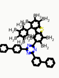 Bc1c(B)c(B)c(-c2c(B)c(B)c(B)c3sc4c(B)c(B)c(-c5nc(-c6ccc(-c7ccccc7)cc6)nc(-c6cccc(-c7ccccc7)c6)n5)c(B)c4c23)c(B)c1B